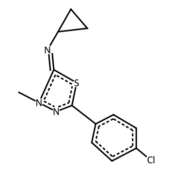 Cn1nc(-c2ccc(Cl)cc2)sc1=NC1CC1